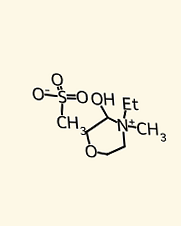 CC[N+]1(C)CCOCC1O.CS(=O)(=O)[O-]